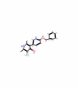 Cc1[nH]c(C)c(-c2ccc(OCc3ccccc3)nc2)c(=O)c1Cl